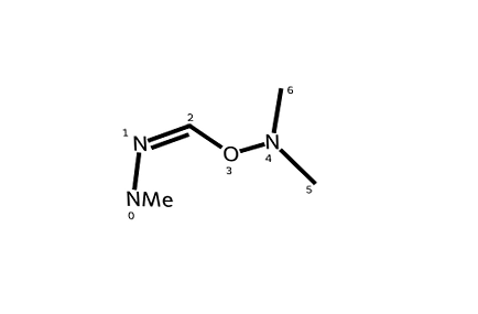 CN/N=C\ON(C)C